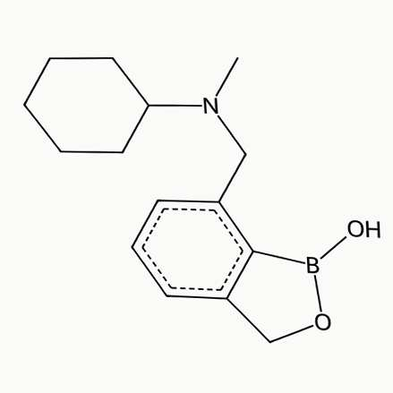 CN(Cc1cccc2c1B(O)OC2)C1CCCCC1